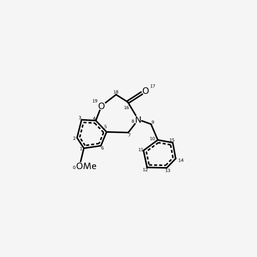 COc1ccc2c(c1)CN(Cc1ccccc1)C(=O)CO2